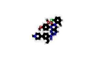 CCc1cc(C2CCN(C)CC2)ccc1Nc1ncc2c(n1)N(c1ccc(OC)cc1OC)C(=O)N(c1c(C)cccc1Cl)C2